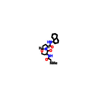 CNCC(=O)N[C@H]1CCO[C@H]2CC[C@@H](C(=O)Nc3cccc4ccccc34)N2C1=O